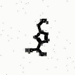 CC(O)c1ncn(CC(F)(F)F)n1